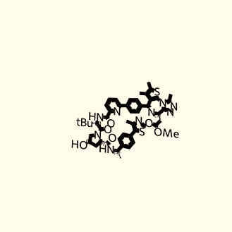 COC(=O)C[C@@H]1N=C(c2ccc(-c3cccc(C(=O)N[C@H](C(=O)N4C[C@H](O)C[C@H]4C(=O)N[C@@H](C)c4ccc(-c5scnc5C)cc4)C(C)(C)C)n3)cc2)c2c(sc(C)c2C)-n2c(C)nnc21